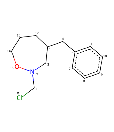 ClCN1CC(Cc2ccccc2)CCCO1